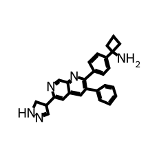 NC1(c2ccc(-c3nc4cnc(C5C=NNC5)cc4cc3-c3ccccc3)cc2)CCC1